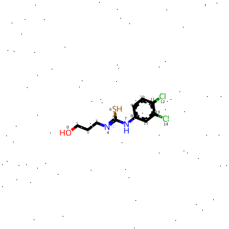 OCCC/N=C(\S)Nc1ccc(Cl)c(Cl)c1